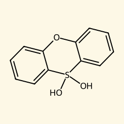 OS1(O)c2ccccc2Oc2ccccc21